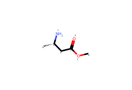 COC(=O)C[C@H](C)N